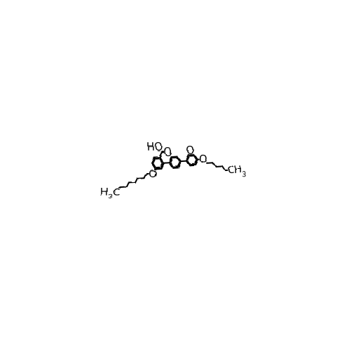 CCCCCCCCOc1ccc(C(=O)O)c(-c2ccc(-c3ccc(OCCCCCC)c4c3O4)cc2)c1